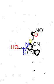 N#Cc1c(NCCO)nc(SCc2ccc(N=O)o2)c(C#N)c1-c1ccccc1